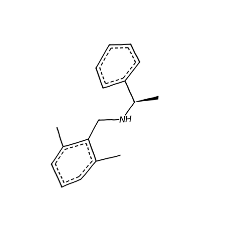 Cc1cccc(C)c1CN[C@H](C)c1ccccc1